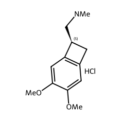 CNC[C@H]1Cc2cc(OC)c(OC)cc21.Cl